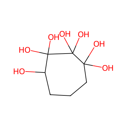 OC1CCCC(O)(O)C(O)(O)C1(O)O